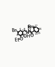 CCOc1cc(Br)cc(C=NNC(=O)c2ccccc2Br)c1O